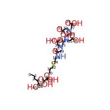 CCCC(OC(O)[C@H](O)OCCCSCCNC(=O)CN(CCN(CCN(CC(=O)O)CC(=O)O)CC(=O)O)CC(=O)O)[C@H](C)O